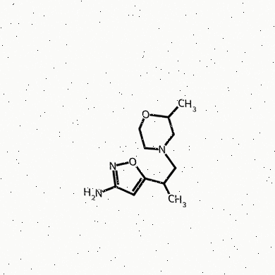 CC1CN(CC(C)c2cc(N)no2)CCO1